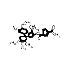 COc1ccc(C2(c3ccc(OC(=O)c4ccc(C(C)=O)cc4)c(C)c3)CCC(C)(C)C(C)C2)cc1C